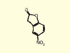 O=C1Cc2cc([N+](=O)[O-])ccc2O1